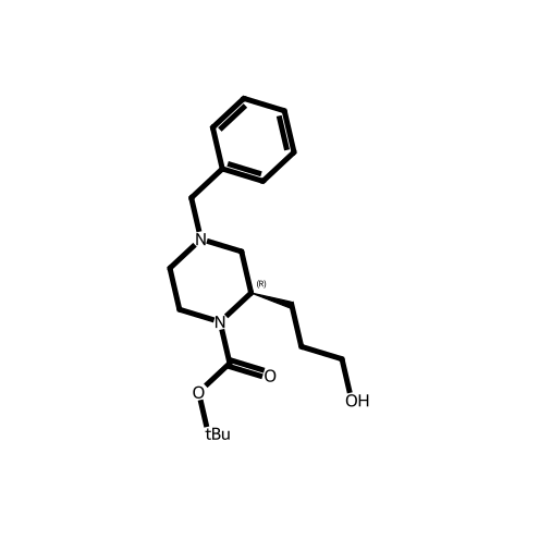 CC(C)(C)OC(=O)N1CCN(Cc2ccccc2)C[C@H]1CCCO